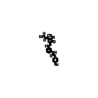 CCNC(=O)C(C#N)=c1sc(=CNc2cccc(NC(=O)CN3CCN(C(C)=O)CC3)c2)c(=O)n1CC